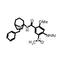 COc1cc(NC(C)=O)c([S+](C)[O-])cc1C(=O)NC12CCCC(CC1)N2Cc1ccccc1